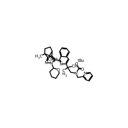 CC(C)(C)OC(=O)N(Cc1ccccn1)CC(C)(C)c1cc2ccccc2c(-c2c3c(nn2C2CCCCO2)C2(C)CCC3C2(C)C)n1